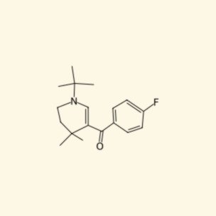 CC1(C)CCN(C(C)(C)C)C=C1C(=O)c1ccc(F)cc1